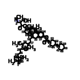 C/N=C\C(CO)C(=O)O[C@H]1CC[C@@]2(C)[C@@H]3[C@H](CCC(C)CC(C)[S+]([O-])CCCC(F)(P)C(F)(F)P)Cc4cc(OC(=O)N5CCC(N6CCCCC6)CC5)ccc4[C@@]3(C)CC[C@]12C